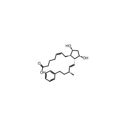 C[C@H](/C=C/[C@@H]1[C@@H](C/C=C\CCCC(=O)O)[C@@H](O)C[C@H]1O)CCc1ccccc1